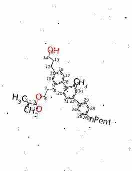 C=C(C)C(=O)OCCCc1cc(CCCO)ccc1-c1ccc(-c2ccc(CCCCC)cc2)cc1C